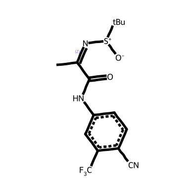 C/C(=N/[S+]([O-])C(C)(C)C)C(=O)Nc1ccc(C#N)c(C(F)(F)F)c1